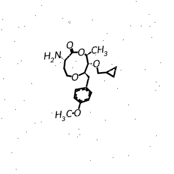 COc1ccc(C[C@H]2OCC[C@H](N)C(=O)O[C@@H](C)[C@@H]2OCC2CC2)cc1